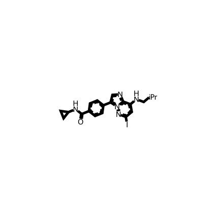 CC(C)CNc1cc(I)nn2c(-c3ccc(C(=O)NC4CC4)cc3)cnc12